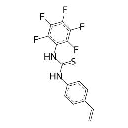 C=Cc1ccc(NC(=S)Nc2c(F)c(F)c(F)c(F)c2F)cc1